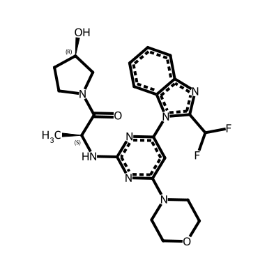 C[C@H](Nc1nc(N2CCOCC2)cc(-n2c(C(F)F)nc3ccccc32)n1)C(=O)N1CC[C@@H](O)C1